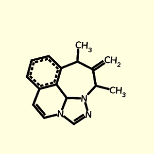 C=C1C(C)c2cccc3c2C2N(C=C3)C=NN2C1C